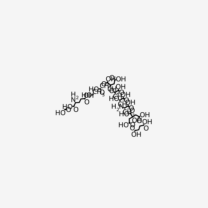 C=C(CC(=O)O)C(=O)O.CC(=O)C(=O)O.CC(=O)O.CC(O)C(=O)O.CCO.C[C@H](N)C(=O)O.N[C@@H](CCC(=O)O)C(=O)O.O=C(O)CC(O)(CC(=O)O)C(=O)O.O=C(O)CCC(=O)O.O=CO